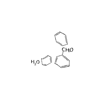 O.O=Cc1ccccc1.c1ccccc1.c1ccccc1